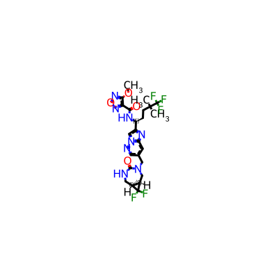 COc1nonc1C(=O)N[C@@H](CCC(C)(C)C(F)(F)F)c1cn2ncc(CN3C[C@@H]4[C@H](CNC3=O)C4(F)F)cc2n1